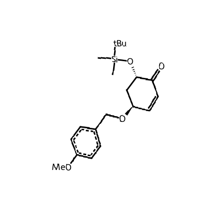 COc1ccc(CO[C@@H]2C=CC(=O)[C@@H](O[Si](C)(C)C(C)(C)C)C2)cc1